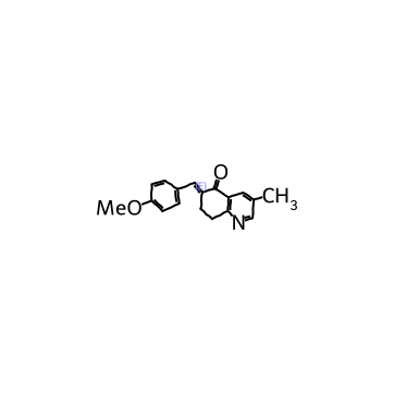 COc1ccc(/C=C2\CCc3ncc(C)cc3C2=O)cc1